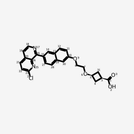 O=C(O)[C@H]1C[C@@H](OCCOc2ccc3cc(-c4nccc5ccc(Cl)nc45)ccc3c2)C1